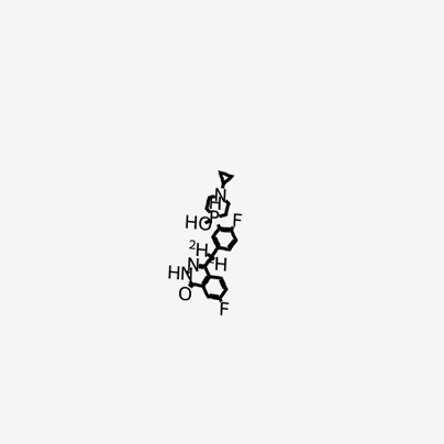 [2H]C([2H])(c1ccc(F)c([PH]2(O)CCN(C3CC3)CC2)c1)c1n[nH]c(=O)c2cc(F)ccc12